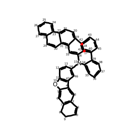 C1=Cc2cc3c(cc2CC1)oc1ccc(N(c2ccc4ccc5c6ccccc6ccc5c4c2)c2ccccc2-c2ccccc2)cc13